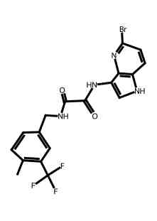 Cc1ccc(CNC(=O)C(=O)Nc2c[nH]c3ccc(Br)nc23)cc1C(F)(F)F